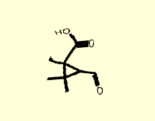 CC1(C)C(C=O)C1(C)C(=O)O